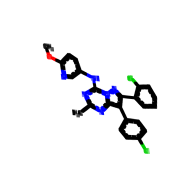 COc1ccc(Nc2nc(C)nc3c(-c4ccc(Cl)cc4)c(-c4ccccc4Cl)nn23)cn1